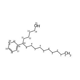 CCCCCCCCCCC(CCCCO)C1=CC=CSC1